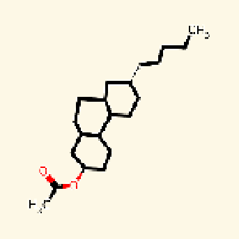 CCCCC[C@@H]1CCC2C(CCC3C[C@H](OC(C)=O)CCC32)C1